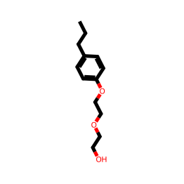 CCCc1ccc(OCCOCCO)cc1